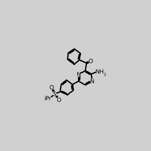 CC(C)S(=O)(=O)c1ccc(-c2cnc(N)c(C(=O)c3ccccc3)n2)cc1